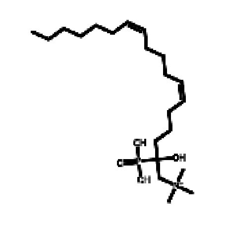 CCCCCC/C=C\CCC/C=C\CCCC(O)(C[N+](C)(C)C)P(=O)(O)O